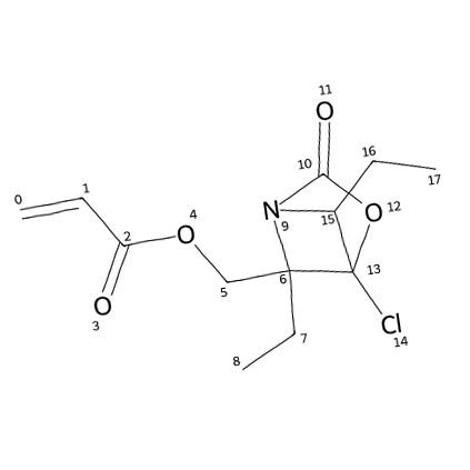 C=CC(=O)OCC1(CC)N2C(=O)OC1(Cl)C2CC